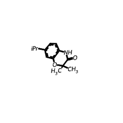 CC(C)c1ccc2c(c1)OC(C)(C)C(=O)N2